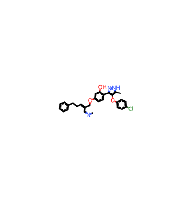 C/N=C\C(=C/CCc1ccccc1)COc1ccc(-c2n[nH]c(C)c2Oc2ccc(Cl)cc2)c(O)c1